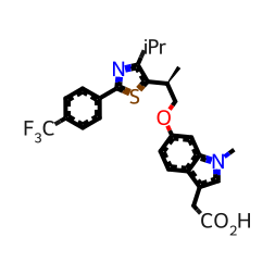 CC(C)c1nc(-c2ccc(C(F)(F)F)cc2)sc1[C@@H](C)COc1ccc2c(CC(=O)O)cn(C)c2c1